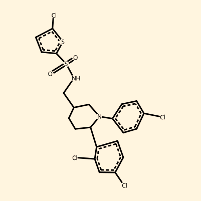 O=S(=O)(NCC1CCC(c2ccc(Cl)cc2Cl)N(c2ccc(Cl)cc2)C1)c1ccc(Cl)s1